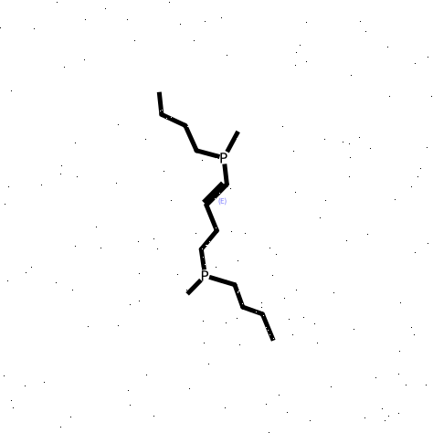 CCCCP(C)/C=C/CCP(C)CCCC